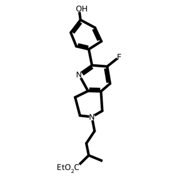 CCOC(=O)C(C)CCN1CCc2nc(-c3ccc(O)cc3)c(F)cc2C1